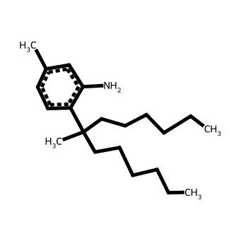 CCCCCCC(C)(CCCCCC)c1ccc(C)cc1N